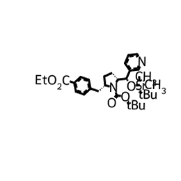 CCOC(=O)c1ccc(C[C@@H]2CC[C@H]([C@H](O[Si](C)(C)C(C)(C)C)c3cccnc3)N2C(=O)OC(C)(C)C)cc1